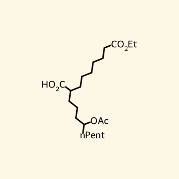 CCCCCC(CCCC(CCCCCCC(=O)OCC)C(=O)O)OC(C)=O